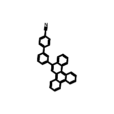 N#Cc1ccc(-c2cccc(-c3cc4c5ccccc5c5ccccc5c4c4ccccc34)c2)cc1